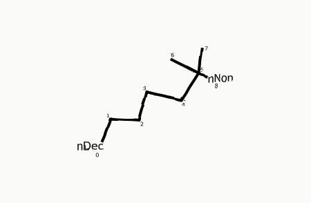 CCCCCCCCCCCCC[CH]C(C)(C)CCCCCCCCC